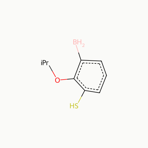 Bc1cccc(S)c1OC(C)C